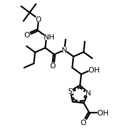 CCC(C)C(NC(=O)OC(C)(C)C)C(=O)N(C)C(CC(O)c1nc(C(=O)O)cs1)C(C)C